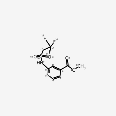 COC(=O)c1ccnc(NS(=O)(=O)CC(F)(F)F)c1